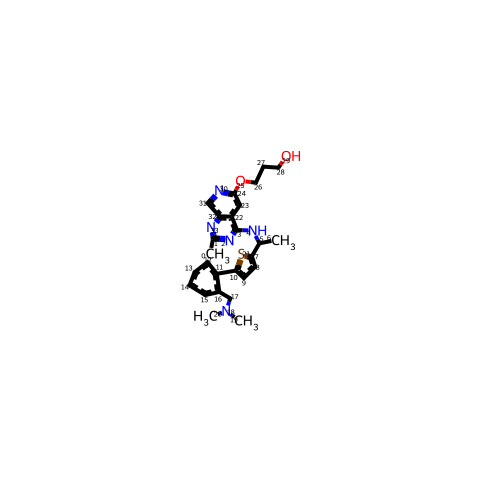 Cc1nc(NC(C)c2ccc(-c3ccccc3CN(C)C)s2)c2cc(OCCCO)ncc2n1